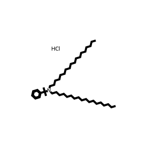 CCCCCCCCCCCCCCCCCCN(CCCCCCCCCCCCCCCCCC)C(C)(C)c1ccccc1.Cl